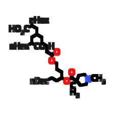 CCCCCCCCCCCCC(CCCOC(=O)CCCCC(CC(CCCCCC)C(=O)O)CC(CCCCCC)C(=O)O)OC(=O)C1(C)CCN(C)CC1